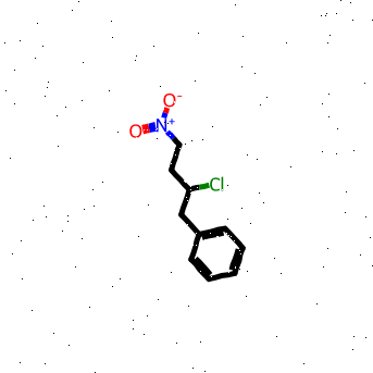 O=[N+]([O-])CCC(Cl)Cc1ccccc1